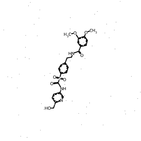 COc1ccc(C(=O)NCCc2ccc(S(=O)(=O)C(=O)Nc3ccc(CO)nc3)cc2)cc1OC